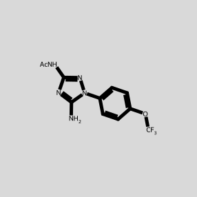 CC(=O)Nc1nc(N)n(-c2ccc(OC(F)(F)F)cc2)n1